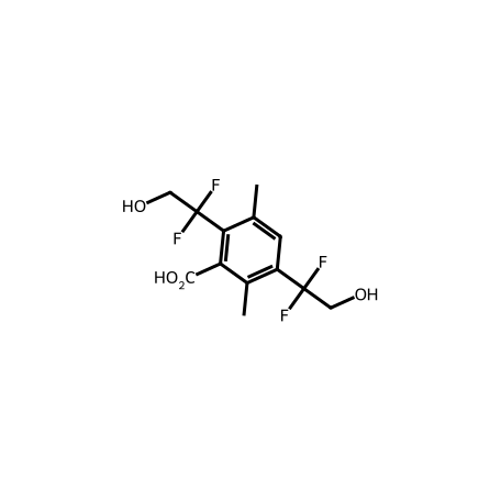 Cc1cc(C(F)(F)CO)c(C)c(C(=O)O)c1C(F)(F)CO